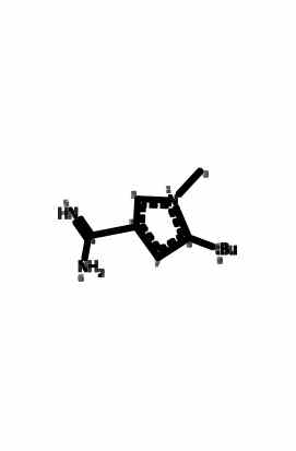 Cn1cc(C(=N)N)cc1C(C)(C)C